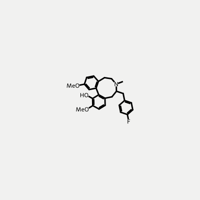 COc1ccc2c(c1)-c1c(ccc(OC)c1O)CC(Cc1ccc(F)cc1)N(C)CC2